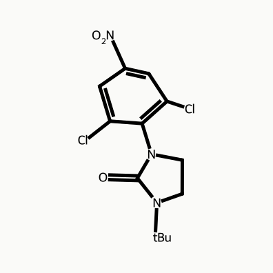 CC(C)(C)N1CCN(c2c(Cl)cc([N+](=O)[O-])cc2Cl)C1=O